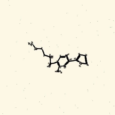 COCCNC(=O)c1cnc(-c2ccco2)nc1N